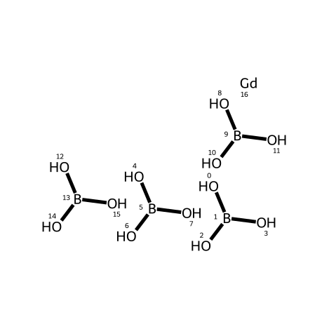 OB(O)O.OB(O)O.OB(O)O.OB(O)O.[Gd]